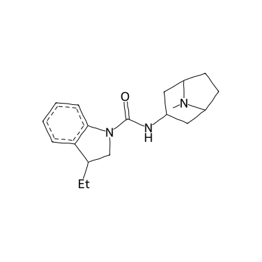 CCC1CN(C(=O)NC2CC3CCC(C2)N3C)c2ccccc21